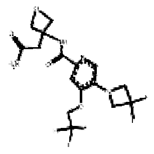 NC(=O)CC1(NC(=O)c2cc(OCC(F)(F)F)c(N3CC(F)(F)C3)cn2)COC1